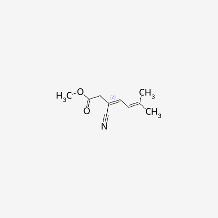 COC(=O)C/C(C#N)=C/C=C(C)C